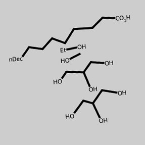 CCCCCCCCCCCCCCCCCC(=O)O.CCO.CO.OCC(O)CO.OCC(O)CO